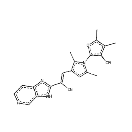 Cc1oc(-n2c(C)cc(C=C(C#N)c3nc4ccncc4[nH]3)c2C)c(C#N)c1C